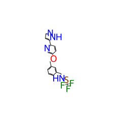 FC(F)(F)SNCc1cccc(COc2ccc(-c3ccn[nH]3)nc2)c1